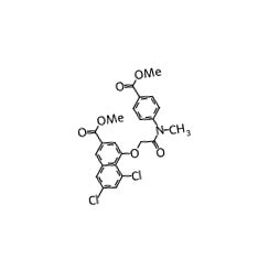 COC(=O)c1ccc(N(C)C(=O)COc2cc(C(=O)OC)cc3cc(Cl)cc(Cl)c23)cc1